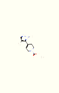 Cn1ncc([N+](=O)[O-])c1C1=CCN(C(=O)OC(C)(C)C)CC1